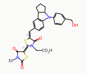 CCN1C(=O)S/C(=c2/s/c(=C/c3ccc4c(c3)C3CCCC3N4c3ccc(CO)cc3)c(=O)n2CC(=O)O)C1=O